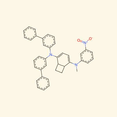 CN(C1=CC=C(N(c2cccc(-c3ccccc3)c2)c2cccc(-c3ccccc3)c2)C2CCC12)c1cccc([N+](=O)[O-])c1